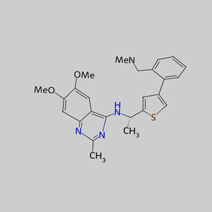 CNCc1ccccc1-c1csc([C@H](C)Nc2nc(C)nc3cc(OC)c(OC)cc23)c1